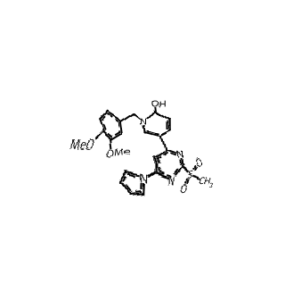 COc1ccc(CN2C=C(c3cc(-n4cccc4)nc(S(C)(=O)=O)n3)C=CC2O)cc1OC